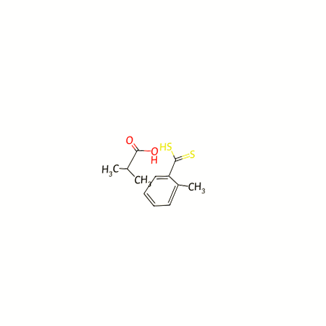 CC(C)C(=O)O.Cc1ccccc1C(=S)S